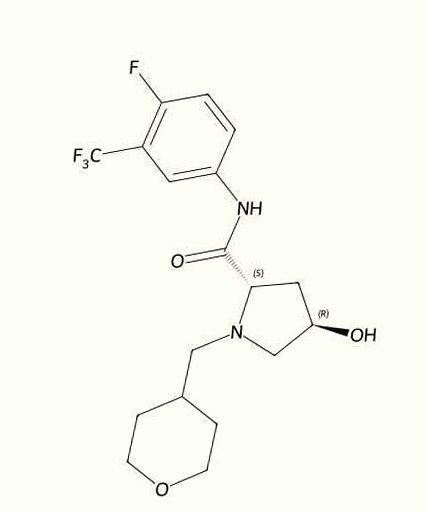 O=C(Nc1ccc(F)c(C(F)(F)F)c1)[C@@H]1C[C@@H](O)CN1CC1CCOCC1